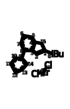 CCC(C)C1=Cc2c(cccc2-c2ccccc2)[CH]1.[Cl][Zr][Cl]